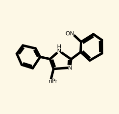 CCCc1nc(-c2ccccc2N=O)[nH]c1-c1ccccc1